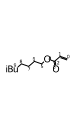 C=CC(=O)OCCCCC(C)CC